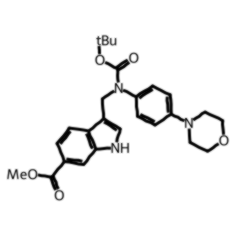 COC(=O)c1ccc2c(CN(C(=O)OC(C)(C)C)c3ccc(N4CCOCC4)cc3)c[nH]c2c1